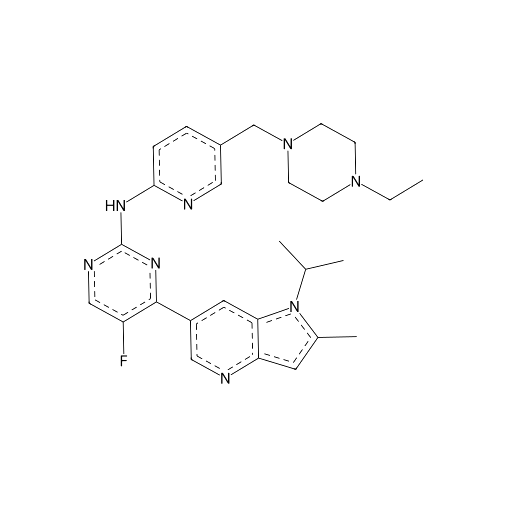 CCN1CCN(Cc2ccc(Nc3ncc(F)c(-c4cnc5cc(C)n(C(C)C)c5c4)n3)nc2)CC1